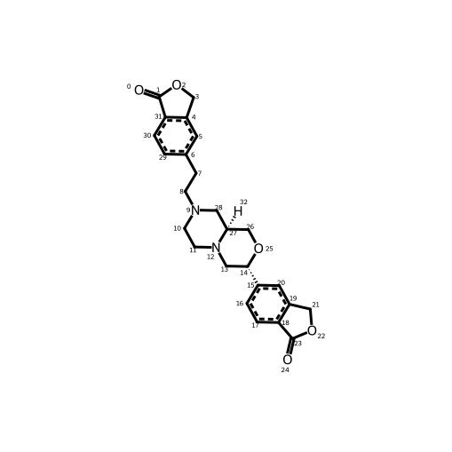 O=C1OCc2cc(CCN3CCN4C[C@@H](c5ccc6c(c5)COC6=O)OC[C@@H]4C3)ccc21